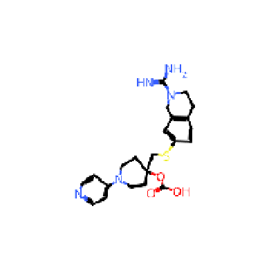 N=C(N)N1CCc2ccc(SCC3(OC(=O)O)CCN(c4ccncc4)CC3)cc2C1